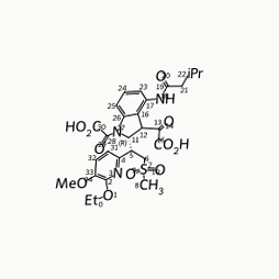 CCOc1nc(C(CS(C)(=O)=O)[C@H]2C(C(=O)C(=O)O)c3c(NC(=O)CC(C)C)cccc3N2C(=O)C(=O)O)ccc1OC